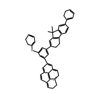 CC1(C)C2=C(CCC(c3cc(OC4=CC=CCC4)cc(-c4cc5c6c7c(ccc6c4)=CCC[C@H]7CC=5)c3)=C2)c2ccc(C3=CC=CCC3)cc21